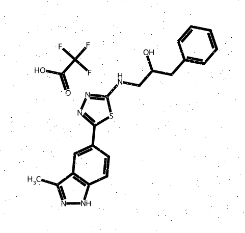 Cc1n[nH]c2ccc(-c3nnc(NCC(O)Cc4ccccc4)s3)cc12.O=C(O)C(F)(F)F